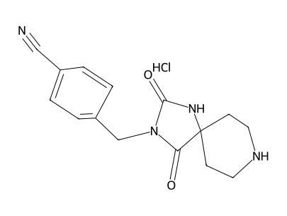 Cl.N#Cc1ccc(CN2C(=O)NC3(CCNCC3)C2=O)cc1